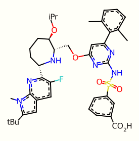 Cc1cccc(C)c1-c1cc(OC[C@@H]2N[C@H](c3nc4c(cc3F)cc(C(C)(C)C)n4C)CCC[C@H]2OC(C)C)nc(NS(=O)(=O)c2cccc(C(=O)O)c2)n1